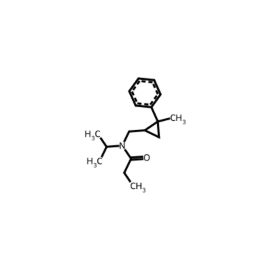 CCC(=O)N(CC1CC1(C)c1ccccc1)C(C)C